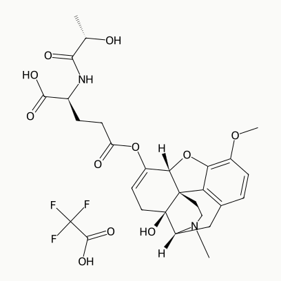 COc1ccc2c3c1O[C@H]1C(OC(=O)CC[C@H](NC(=O)[C@H](C)O)C(=O)O)=CC[C@@]4(O)[C@@H](C2)N(C)CC[C@]314.O=C(O)C(F)(F)F